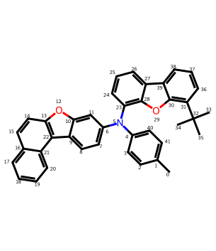 Cc1ccc(N(c2ccc3c(c2)oc2ccc4ccccc4c23)c2cccc3c2oc2c(C(C)(C)C)cccc23)cc1